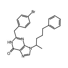 CC(CCCc1ccccc1)n1cnc2c(=O)[nH]c(Cc3ccc(Br)cc3)nc21